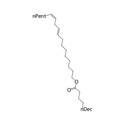 CCCCC/C=C\C/C=C/CCCCCCCCOC(=O)CCCCCCCCCCCCC